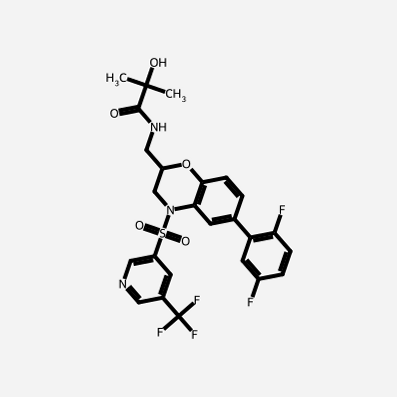 CC(C)(O)C(=O)NCC1CN(S(=O)(=O)c2cncc(C(F)(F)F)c2)c2cc(-c3cc(F)ccc3F)ccc2O1